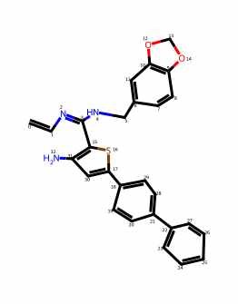 C=C/N=C(/NCc1ccc2c(c1)OCO2)c1sc(-c2ccc(-c3ccccc3)cc2)cc1N